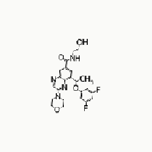 CC(Oc1cc(F)cc(F)c1)c1cc(C(=O)NCCO)cc2ncc(N3CCOCC3)nc12